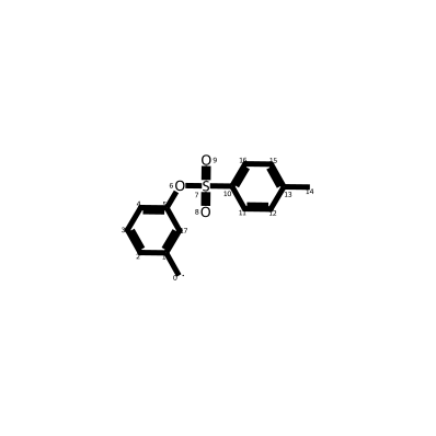 [CH2]c1cccc(OS(=O)(=O)c2ccc(C)cc2)c1